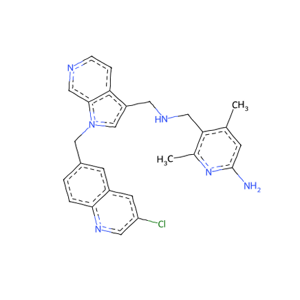 Cc1cc(N)nc(C)c1CNCc1cn(Cc2ccc3ncc(Cl)cc3c2)c2cnccc12